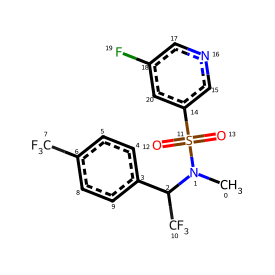 CN(C(c1ccc(C(F)(F)F)cc1)C(F)(F)F)S(=O)(=O)c1cncc(F)c1